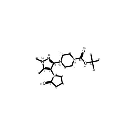 Cc1c(N2CCCC2=O)c(N2CCN(C(=O)OC(C)(C)C)CC2)nn1C